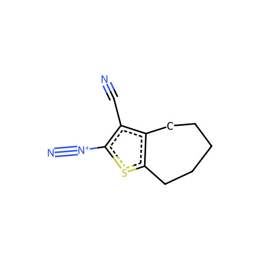 N#Cc1c([N+]#N)sc2c1CCCCC2